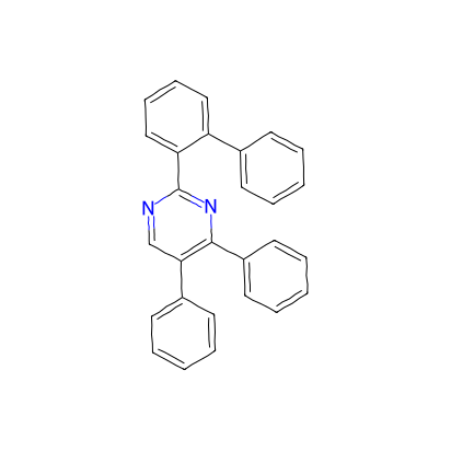 c1ccc(-c2ccccc2-c2ncc(-c3ccccc3)c(-c3ccccc3)n2)cc1